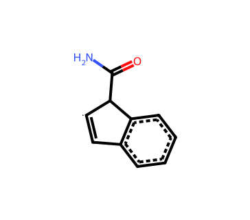 NC(=O)C1[C]=Cc2ccccc21